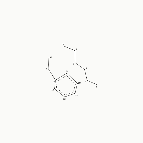 CCCCCC.CCc1ccccc1